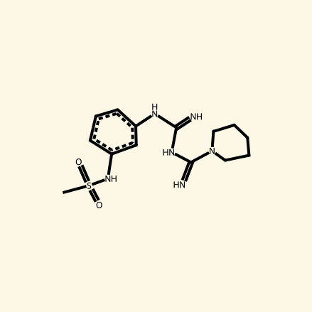 CS(=O)(=O)Nc1cccc(NC(=N)NC(=N)N2CCCCC2)c1